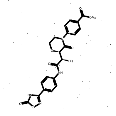 COC(=O)c1ccc(N2CCO[C@H]([C@@H](O)C(=O)Nc3ccc(-c4noc(=O)[nH]4)cc3)C2=O)cc1